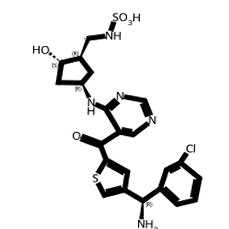 N[C@H](c1cccc(Cl)c1)c1csc(C(=O)c2cncnc2N[C@H]2C[C@H](O)[C@@H]([CH]NS(=O)(=O)O)C2)c1